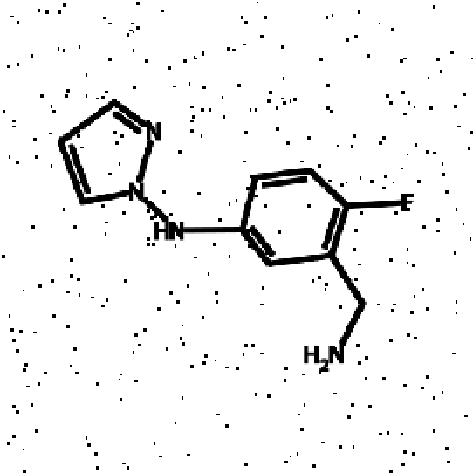 NCc1cc(Nn2cccn2)ccc1F